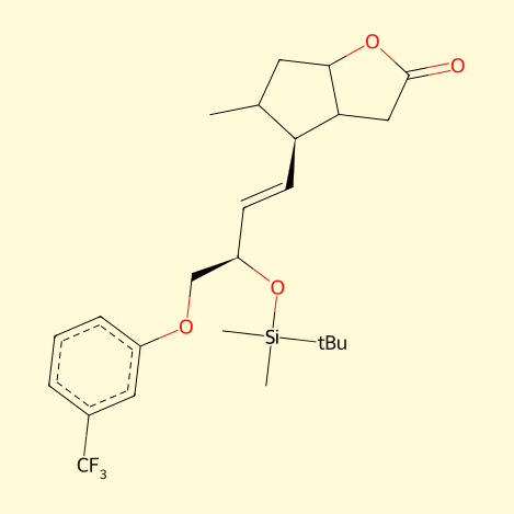 CC1CC2OC(=O)CC2[C@H]1/C=C/[C@H](COc1cccc(C(F)(F)F)c1)O[Si](C)(C)C(C)(C)C